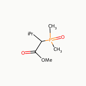 COC(=O)C(C(C)C)P(C)(C)=O